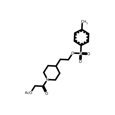 CC(=O)OCC(=O)N1CCC(CCOS(=O)(=O)c2ccc(C)cc2)CC1